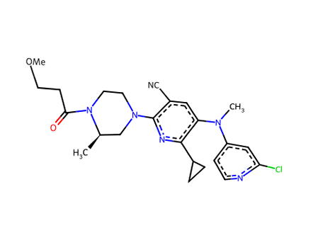 COCCC(=O)N1CCN(c2nc(C3CC3)c(N(C)c3ccnc(Cl)c3)cc2C#N)C[C@H]1C